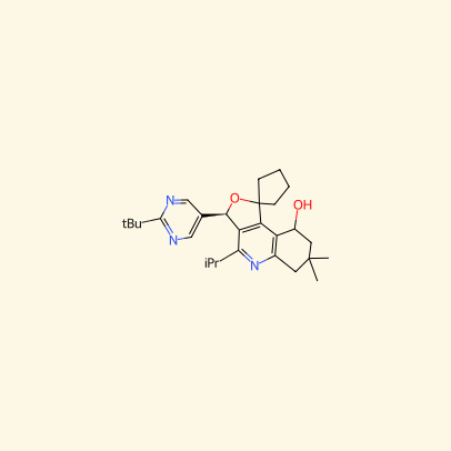 CC(C)c1nc2c(c3c1[C@@H](c1cnc(C(C)(C)C)nc1)OC31CCCC1)C(O)CC(C)(C)C2